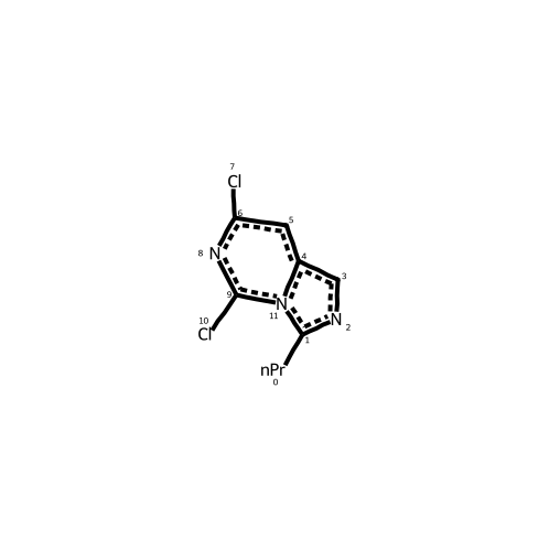 CCCc1ncc2cc(Cl)nc(Cl)n12